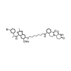 COc1cc2c(NC(C)c3cccc(Br)c3)nc(C)nc2cc1OCCCCCCCNc1cccc2c1CCN(C1CCC(=O)NC1=O)C2=O